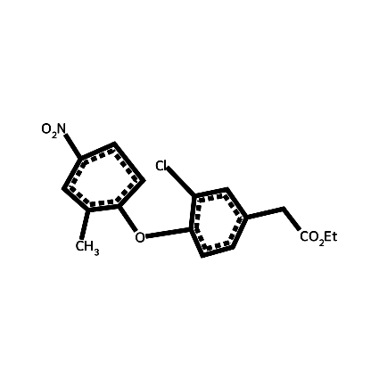 CCOC(=O)Cc1ccc(Oc2ccc([N+](=O)[O-])cc2C)c(Cl)c1